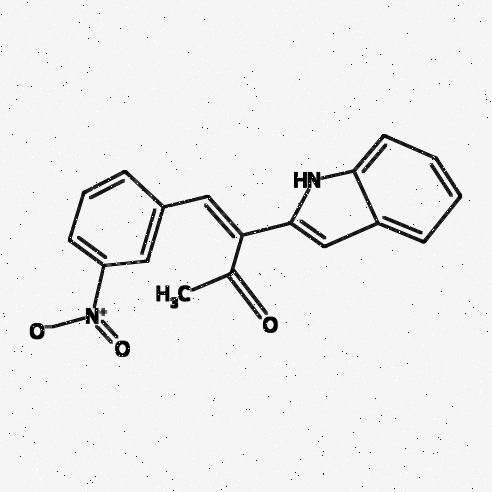 CC(=O)C(=Cc1cccc([N+](=O)[O-])c1)c1cc2ccccc2[nH]1